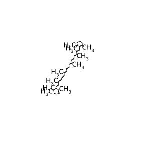 CC1=CCCC(C)(C)[C@H]1/C=C/C(C)=C/C=C/C(C)=C/C=C/C=C(C)/C=C/C=C(C)/C=C/C1=C(C)CCCC1(C)C